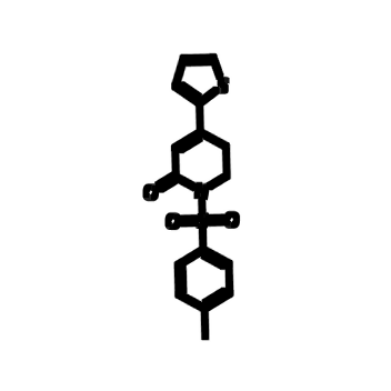 Cc1ccc(S(=O)(=O)N2CCC(c3cccs3)=CC2=O)cc1